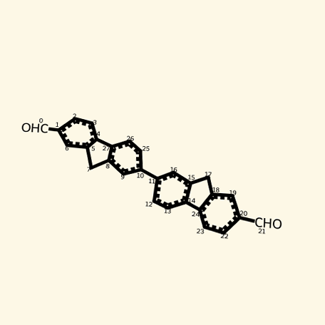 O=Cc1ccc2c(c1)Cc1cc(-c3ccc4c(c3)Cc3cc(C=O)ccc3-4)ccc1-2